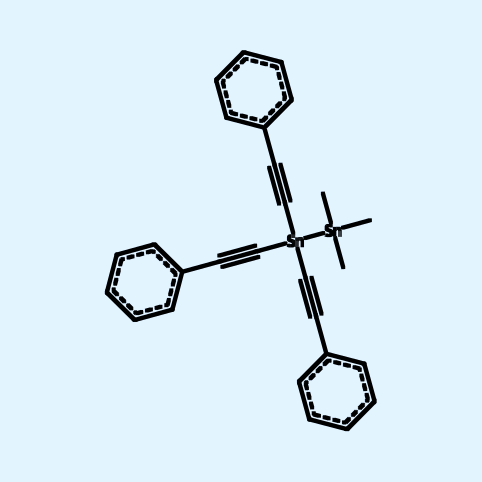 [CH3][Sn]([CH3])([CH3])[Sn]([C]#Cc1ccccc1)([C]#Cc1ccccc1)[C]#Cc1ccccc1